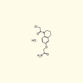 Cl.NC(=O)COc1ccc2c(c1)CCCN2C(=O)CCl